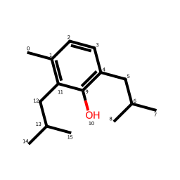 Cc1ccc(CC(C)C)c(O)c1CC(C)C